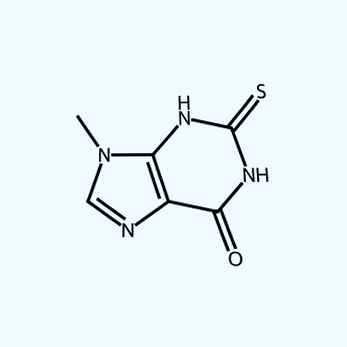 Cn1cnc2c(=O)[nH]c(=S)[nH]c21